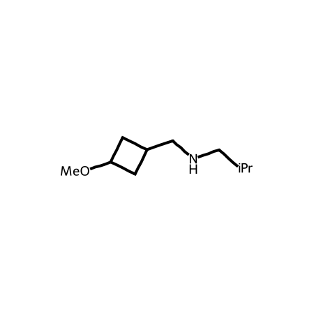 COC1CC(CNCC(C)C)C1